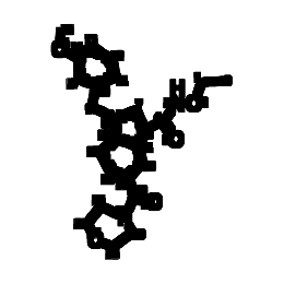 CCONC(=O)c1cn(Cc2cccc(OC)c2)c2ccc(C(=O)N3CCOCC3)cc12